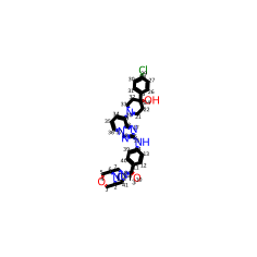 CN1C2COCC1CN(C(=O)c1ccc(Nc3nc4c(N5CCC(O)(c6ccc(Cl)cc6)CC5)cccn4n3)cc1)C2